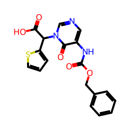 O=C(Nc1cncn(C(C(=O)O)c2cccs2)c1=O)OCc1ccccc1